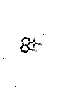 Nc1cccc2c1C(S(N)(=O)=O)CCC2